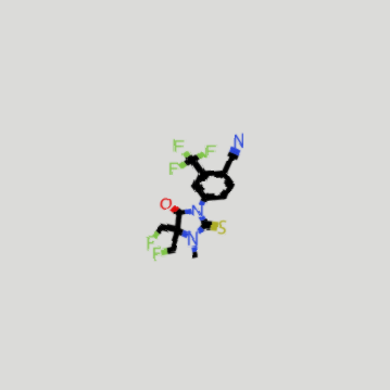 CN1C(=S)N(c2ccc(C#N)c(C(F)(F)F)c2)C(=O)C1(CF)CF